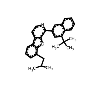 CC(C)Cc1cccc2c1oc1c(-c3cc(C(C)(C)C)c4ccccc4c3)nccc12